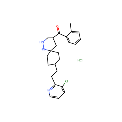 Cc1ccccc1C(=O)C1CNNC2(CCC(CCc3ncccc3Cl)CC2)C1.Cl